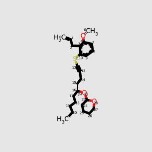 C=CCc1c(OC)cccc1SC#CCC[C@H](CCCCC)OC1CCCCO1